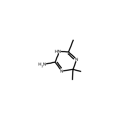 CC1=NC(C)(C)N=C(N)N1